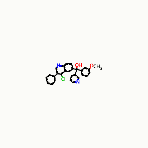 COc1cccc(C(O)(c2cccnc2)c2ccc3ncc(-c4ccccc4)c(Cl)c3c2)c1